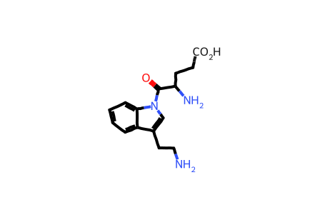 NCCc1cn(C(=O)C(N)CCC(=O)O)c2ccccc12